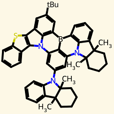 CC(C)(C)c1cc2c3c(c1)c1sc4ccccc4c1n3-c1cc(N3c4ccccc4C4(C)CCCCC34C)cc3c1B2c1cccc2c1N3C1(C)CCCCC21C